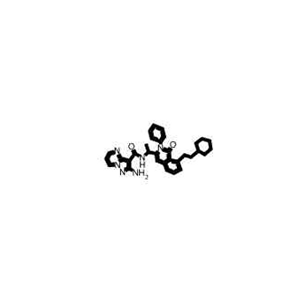 CC(NC(=O)c1c(N)nn2cccnc12)c1cc2cccc(CCC3CCCCC3)c2c(=O)n1-c1ccccc1